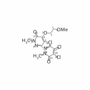 COCCOc1c(Cl)cnn(C)c1=O.Cn1ncc(Cl)c(Cl)c1=O